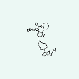 CC(C)(C)OC(=O)N1CCCCC1c1nc(-c2ccc(C(=O)O)cc2)cs1